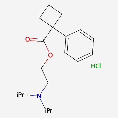 CC(C)N(CCOC(=O)C1(c2ccccc2)CCC1)C(C)C.Cl